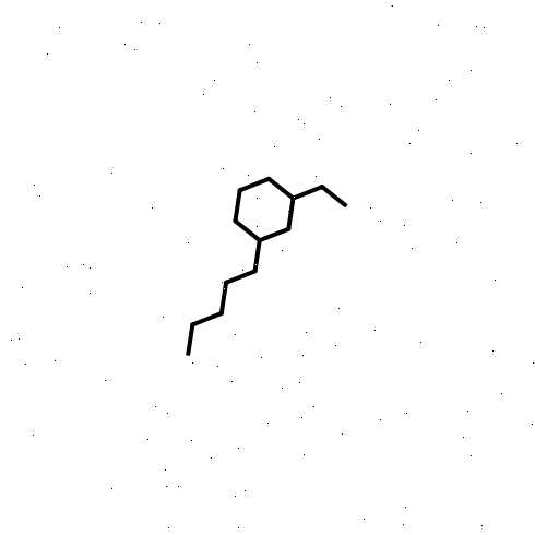 CCC[CH]CC1CCCC(CC)C1